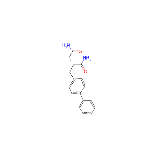 NC(=O)C[C@@H](Cc1ccc(-c2ccccc2)cc1)C(N)=O